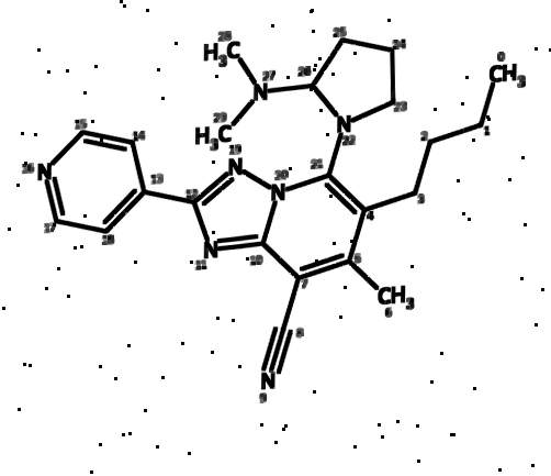 CCCCc1c(C)c(C#N)c2nc(-c3ccncc3)nn2c1N1CCCC1N(C)C